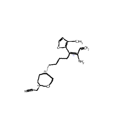 C=C/C(N)=C(/CCCC[C@H]1CC[C@H](CC#N)OC1)c1occc1C